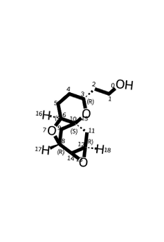 OCC[C@H]1CC[C@@H]2O[C@@H]3C[C@]2(C[C@H]2OC23)O1